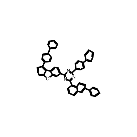 c1ccc(-c2ccc(-c3nc(-c4ccc5c(c4)oc4cccc(-c6ccc(-c7ccccc7)cc6)c45)nc(-c4cccc5cc(-c6ccccc6)ccc45)n3)cc2)cc1